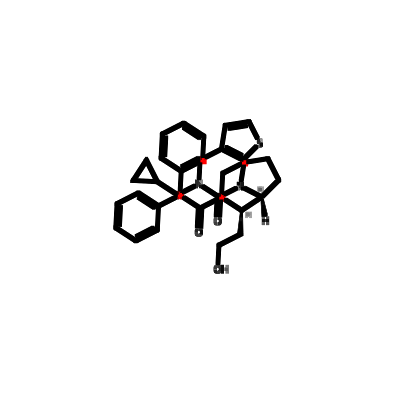 O=C(N(c1ccccc1)c1ccccc1)N1CC2CC[C@H]([C@H]1CCO)N2C(=O)N(Cc1ccsc1)CC1CC1